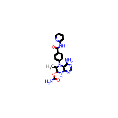 C=C1[C@H](OC(N)=O)Nc2ncnc(N)c2N1c1ccc(C(=O)Nc2ccccn2)cc1